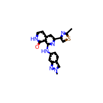 Cc1nc(-c2cc3cc[nH]c(=O)c3c(Nc3ccc4cn(C)nc4c3)n2)cs1